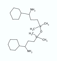 C[Si](C)(CCC(N)C1CCCCC1)O[Si](C)(C)CCC(N)C1CCCCC1